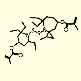 C=C(C)C(=O)OC1CC(CC)N(SSN2C(CC)(CC)CCC(OC(=O)C(=C)C)CC23CC3C)C(CC)(CC)C1